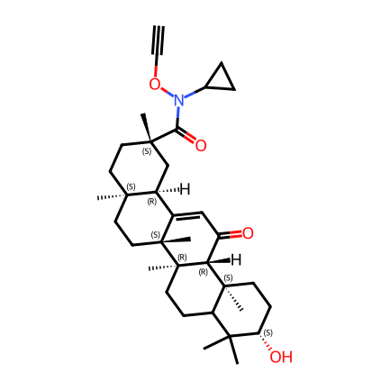 C#CON(C(=O)[C@@]1(C)CC[C@]2(C)CC[C@]3(C)C(=CC(=O)[C@@H]4[C@@]5(C)CC[C@H](O)C(C)(C)C5CC[C@]43C)[C@@H]2C1)C1CC1